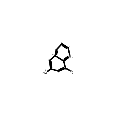 Oc1cc(Br)c2ncccc2c1